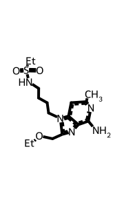 CCOCc1nc2c(N)nc(C)cc2n1CCCCNS(=O)(=O)CC